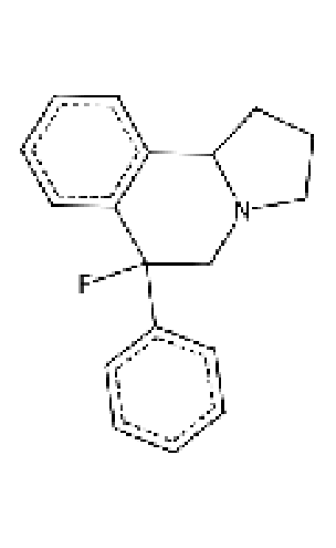 FC1(c2ccccc2)CN2CCCC2c2ccccc21